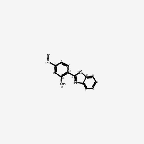 COc1ccc(-c2nc3ccccc3s2)c(O)c1